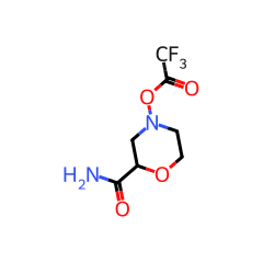 NC(=O)C1CN(OC(=O)C(F)(F)F)CCO1